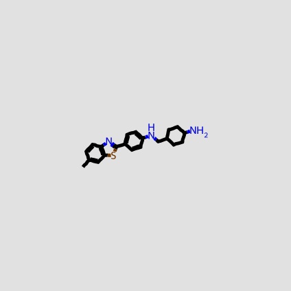 Cc1ccc2nc(-c3ccc(NCC4CCC(N)CC4)cc3)sc2c1